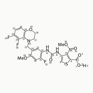 [2H]OC(=O)c1scc(NC(=O)Nc2cc(CN3CCOc4ccc(F)c(F)c43)c(OC)cc2F)c1C(=O)OC